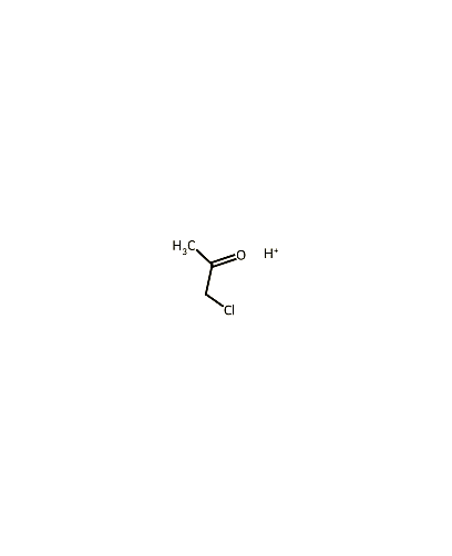 CC(=O)CCl.[H+]